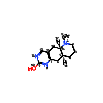 CCCN1CCC[C@H]2Cc3nc(O)ncc3C[C@@H]21